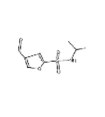 CC(C)NS(=O)(=O)c1cc(C=O)co1